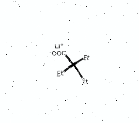 CCC(CC)(CC)C(=O)[O-].[Li+]